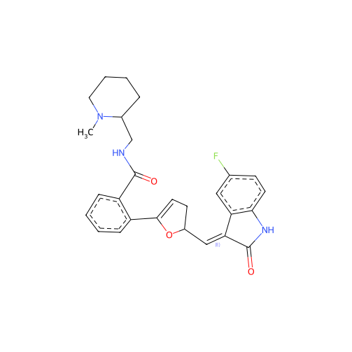 CN1CCCCC1CNC(=O)c1ccccc1C1=CCC(/C=C2/C(=O)Nc3ccc(F)cc32)O1